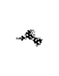 CCC(C)(N)c1cnc(OC2CN(C(C)=O)C2)c2cnc(Nc3ccc4c(n3)C(C)(C)COC4=O)cc12